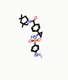 CC1(C)CC2CC(C)(CN2C(=O)c2ccc(C3(NS(=O)(=O)c4ccc(N)cc4)CC3)cc2)C1